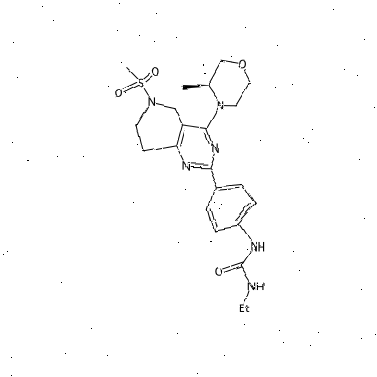 CCNC(=O)Nc1ccc(-c2nc3c(c(N4CCOC[C@@H]4C)n2)CN(S(C)(=O)=O)CC3)cc1